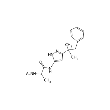 CC(=O)NC(C)C(=O)Nc1cc(C(C)(C)Cc2ccccc2)n[nH]1